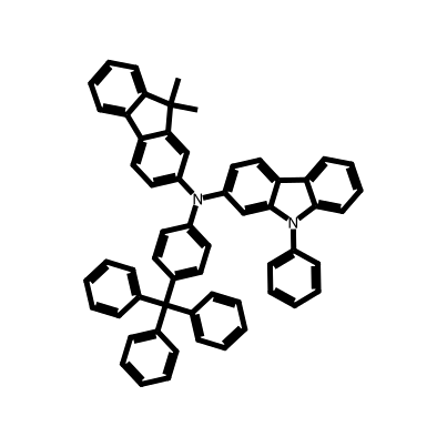 CC1(C)c2ccccc2-c2ccc(N(c3ccc(C(c4ccccc4)(c4ccccc4)c4ccccc4)cc3)c3ccc4c5ccccc5n(-c5ccccc5)c4c3)cc21